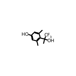 Cc1cc(O)cc(C)c1C(C)(O)C(F)(F)F